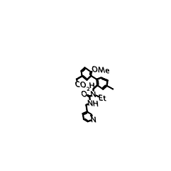 CCN(Cc1cc(C)ccc1-c1cc(CC(=O)O)ccc1OC)C(=O)NCc1cccnc1